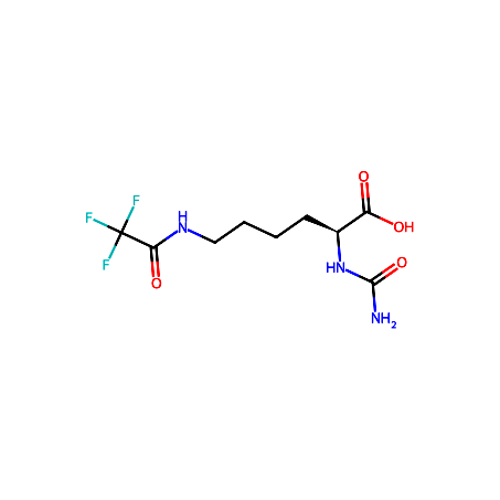 NC(=O)N[C@@H](CCCCNC(=O)C(F)(F)F)C(=O)O